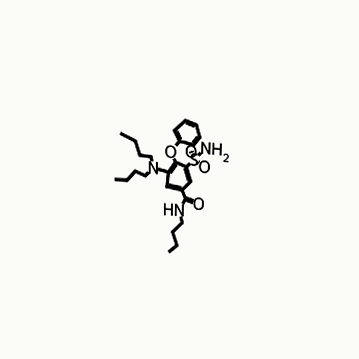 CCCCNC(=O)c1cc(N(CCCC)CCCC)c(Oc2ccccc2)c(S(N)(=O)=O)c1